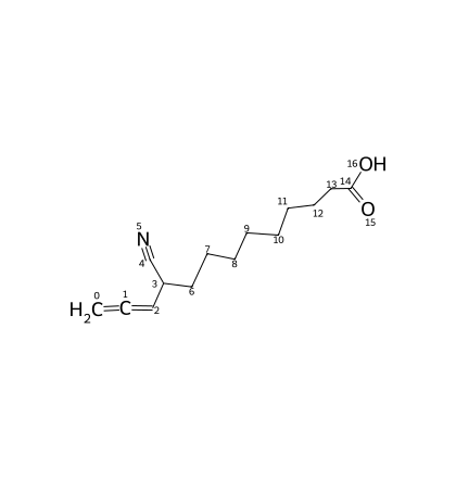 C=C=CC(C#N)CCCCCCCCC(=O)O